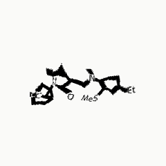 C=C/C=C\C(=C/N(C)c1ccc(CC)cc1SC)C(=O)NC1CN2CCC1CC2